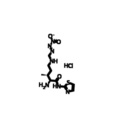 C[C@H](CCNC/N=N/[N+](=O)[O-])[C@H](N)C(=O)Nc1nccs1.Cl